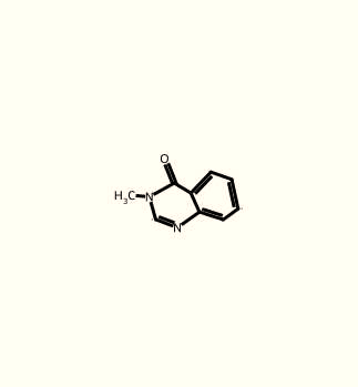 Cn1[c]nc2c[c]ccc2c1=O